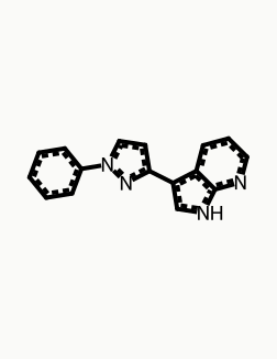 c1ccc(-n2ccc(-c3c[nH]c4ncccc34)n2)cc1